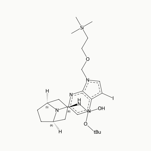 CC(C)(C)OC(O)N[C@H]1C[C@H]2CC[C@@H](C1)N2c1cnc2c(I)cn(COCC[Si](C)(C)C)c2n1